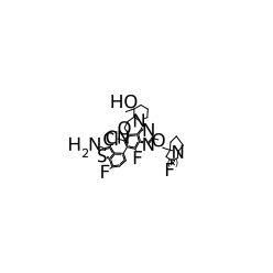 CC1(O)CCCN2c3nc(OCC45CCCN4C[C@H](F)C5)nc4c(F)c(-c5ccc(F)c6sc(N)c(C#N)c56)c(Cl)c(c34)OCC21